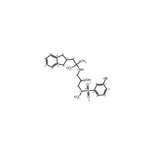 CN(CC(O)CNC(C)(C)CC1Cc2ccccc2C1)S(=O)(=O)c1cccc(Br)c1